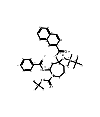 CC(C)(C)OC(=O)N1CCCC(OC(=O)c2ccc3ccccc3c2)(O[Si](C)(C)C(C)(C)C)CC1NC(=O)c1ccccc1